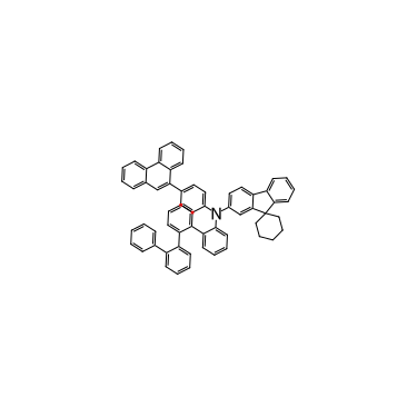 c1ccc(-c2ccccc2-c2ccccc2-c2ccccc2N(c2ccc(-c3cc4ccccc4c4ccccc34)cc2)c2ccc3c(c2)C2(CCCCC2)c2ccccc2-3)cc1